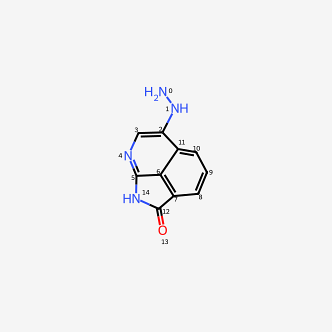 NNc1cnc2c3c(cccc13)C(=O)N2